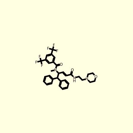 CN(C(=O)c1cc(C(F)(F)F)cc(C(F)(F)F)c1)C(C=CC(=O)NCCN1CCOCC1)C(c1ccccc1)c1ccccc1